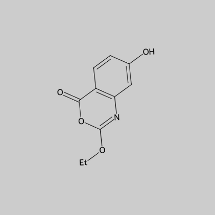 CCOc1nc2cc(O)ccc2c(=O)o1